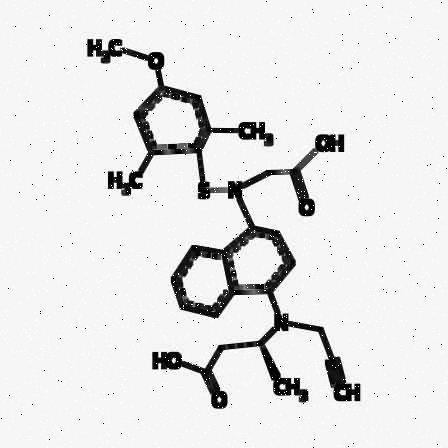 C#CCN(c1ccc(N(CC(=O)O)Sc2c(C)cc(OC)cc2C)c2ccccc12)[C@@H](C)CC(=O)O